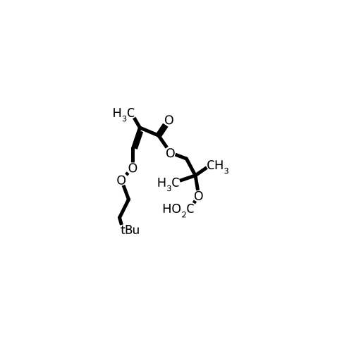 CC(=COOCCC(C)(C)C)C(=O)OCC(C)(C)OC(=O)O